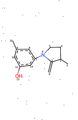 C=C1C(C)CCN1c1cc(C)cc(O)c1